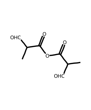 CC(C=O)C(=O)OC(=O)C(C)C=O